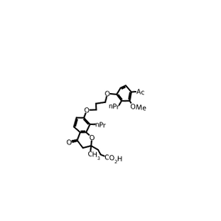 CCCc1c(OCCCOc2ccc3c(c2CCC)OC(C)(CCC(=O)O)CC3=O)ccc(C(C)=O)c1OC